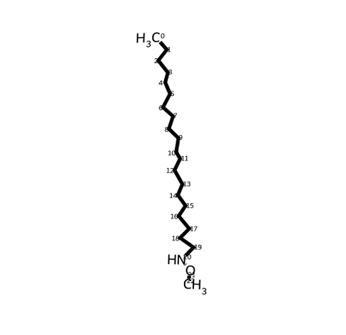 CCCCCCCCCCCCCCCCCCCCNOC